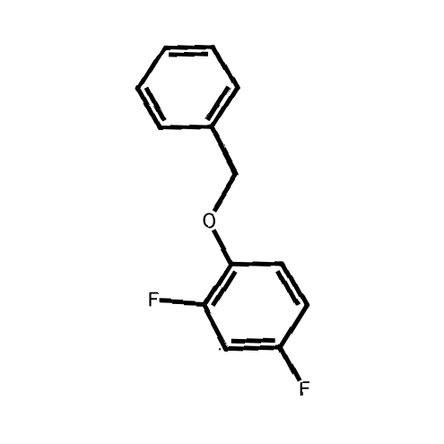 Fc1[c]c(F)c(OCc2ccccc2)cc1